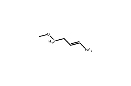 CO[SiH2]CC=CN